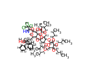 CCCCOCC1O[C@H](O[C@H]2C(COCCCC)O[C@@H](O[C@@H]3C(CCC(C)(C)[Si](O)(c4ccccc4)c4ccccc4)O[C@H](OC(=N)C(Cl)(Cl)Cl)[C@H](O)C3OCCCC)C[C@H]2OCCCC)C(OCCCC)[C@@H](OCCCC)[C@@H]1OCCCC